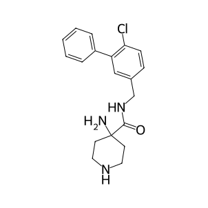 NC1(C(=O)NCc2ccc(Cl)c(-c3ccccc3)c2)CCNCC1